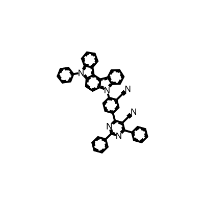 N#Cc1cc(-c2nc(-c3ccccc3)nc(-c3ccccc3)c2C#N)ccc1-n1c2ccccc2c2c3c4ccccc4n(-c4ccccc4)c3ccc21